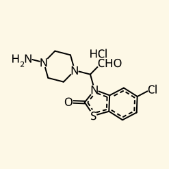 Cl.NN1CCN(C(C=O)n2c(=O)sc3ccc(Cl)cc32)CC1